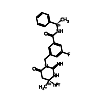 CCC[C@]1(C)CC(=O)N(Cc2cc(F)cc(C(=O)N[C@@H](C)c3ccccc3)c2)C(=N)N1